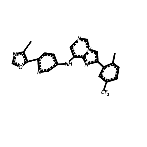 Cc1ccc(C(F)(F)F)cc1-c1cn2cncc(Nc3ccc(-c4ocnc4C)nc3)c2n1